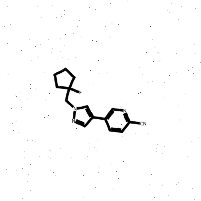 N#Cc1ccc(-c2cnn(CC3(F)CCCC3)c2)cn1